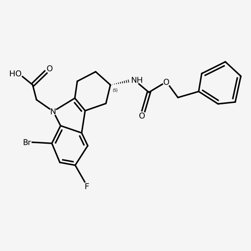 O=C(O)Cn1c2c(c3cc(F)cc(Br)c31)C[C@@H](NC(=O)OCc1ccccc1)CC2